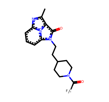 Cc1nc2cccc3n(CCC4CCN(C(=O)C(F)(F)F)CC4)c(=O)c1n23